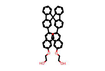 OCCOc1ccc2cc(-c3ccc4c(c3)C3(c5ccccc5-4)c4ccccc4-c4ccc(-c5ccc6cc(OCCO)ccc6c5)cc43)ccc2c1